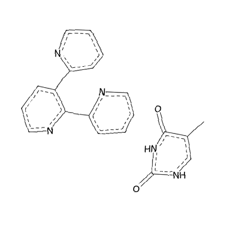 Cc1c[nH]c(=O)[nH]c1=O.c1ccc(-c2cccnc2-c2ccccn2)nc1